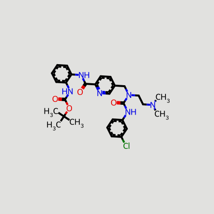 CN(C)CCN(Cc1ccc(C(=O)Nc2ccccc2NC(=O)OC(C)(C)C)nc1)C(=O)Nc1cccc(Cl)c1